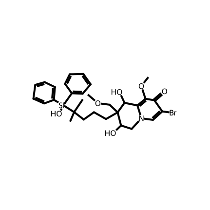 COCC1(CCCC(C)(C)[Si](O)(c2ccccc2)c2ccccc2)C(O)Cn2cc(Br)c(=O)c(OC)c2C1O